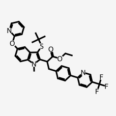 CCOC(=O)C(Cc1ccc(-c2ccc(C(F)(F)F)cn2)cc1)c1c(SC(C)(C)C)c2cc(Oc3ccccn3)ccc2n1C